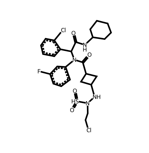 O=C(NC1CCCCC1)C(c1ccccc1Cl)N(C(=O)C1CC(NN(CCCl)[SH](=O)=O)C1)c1cccc(F)c1